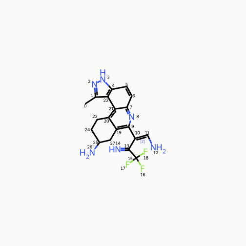 Cc1n[nH]c2ccc3nc(/C(=C/N)C(=N)C(F)(F)F)c4c(c3c12)CCC(N)C4